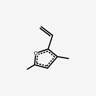 C=Cc1oc(C)cc1C